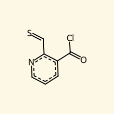 O=C(Cl)c1cccnc1C=S